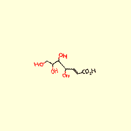 O=C(O)C=CC(O)C(O)C(O)CO